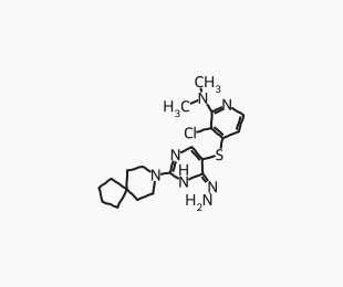 CN(C)c1nccc(Sc2cnc(N3CCC4(CCCC4)CC3)[nH]/c2=N\N)c1Cl